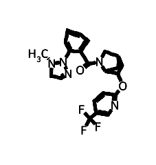 CN1CC=NN1c1ccccc1C(=O)N1CC2CC(Oc3ccc(C(F)(F)F)cn3)C1C2